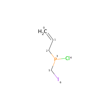 C=CCP(Cl)CI